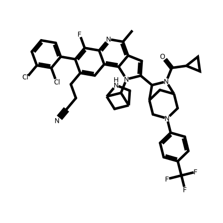 Cc1nc2c(F)c(-c3cccc(Cl)c3Cl)c(CCC#N)cc2c2c1cc(C1C3CC(CN(c4ccc(C(F)(F)F)cc4)C3)N1C(=O)C1CC1)n2C1C2CNC1C2